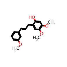 COc1cccc(/C=C/Cc2cc(OC)c(OC)cc2O)c1